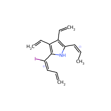 C=C/C=C(/I)c1[nH]c(/C=C\C)c(C=C)c1C=C